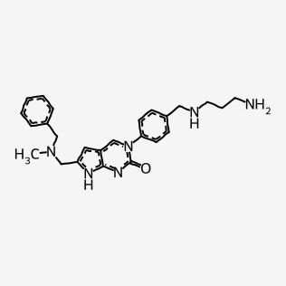 CN(Cc1ccccc1)Cc1cc2cn(-c3ccc(CNCCCN)cc3)c(=O)nc2[nH]1